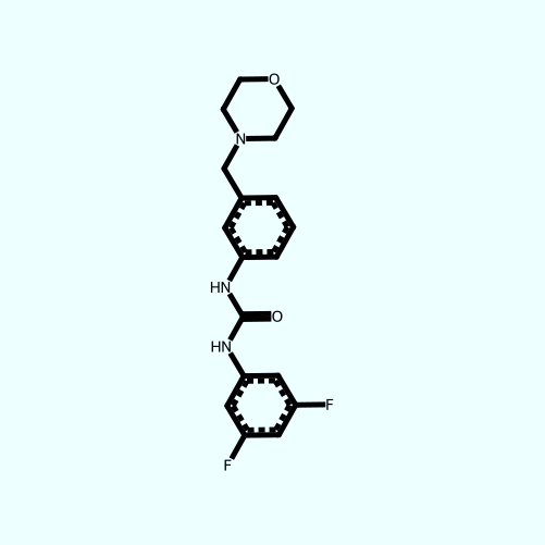 O=C(Nc1cc(F)cc(F)c1)Nc1cccc(CN2CCOCC2)c1